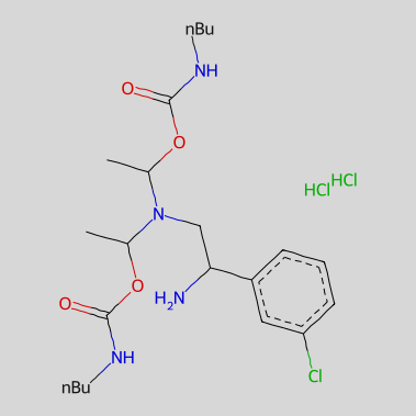 CCCCNC(=O)OC(C)N(CC(N)c1cccc(Cl)c1)C(C)OC(=O)NCCCC.Cl.Cl